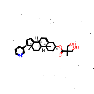 CC(CO)(CO)C(=O)O[C@H]1CC[C@@]2(C)C(=CC[C@H]3C4=CC=C(c5cccnc5)[C@@]4(C)CC[C@@H]32)C1